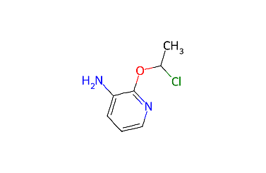 CC(Cl)Oc1ncccc1N